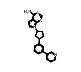 Nc1ncnc2c1ccn2C1CCC(c2cccc(-c3cccnc3)c2)C1